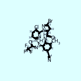 Cc1cc(C#N)cc(S(C)=NC(=O)C(F)(F)F)c1NC(=O)c1cc(Br)nn1-c1ncccc1Cl